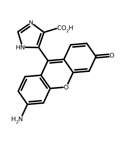 Nc1ccc2c(-c3[nH]cnc3C(=O)O)c3ccc(=O)cc-3oc2c1